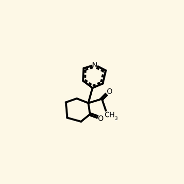 CC(=O)C1(c2ccncc2)CCCCC1=O